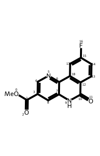 COC(=O)c1cnc2c(c1)[nH]c(=O)c1ccc(F)cc12